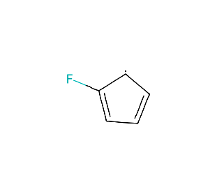 FC1=CC=C[CH]1